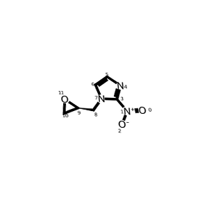 O=[N+]([O-])c1nccn1C[C@H]1CO1